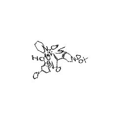 CC(C)(C)OC(=O)N1CCc2c(sc(NC(=O)N3CCCCC3C(=O)O)c2C(=O)Nc2ccc(Cl)cc2)C1